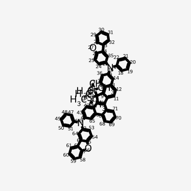 C[Si](C)(C)C1([Si](C)(C)C)c2c(ccc3cc(N(c4ccccc4)c4ccc5oc6ccccc6c5c4)ccc23)-c2c1c1ccc(N(c3ccccc3)c3ccc4oc5ccccc5c4c3)cc1c1ccccc21